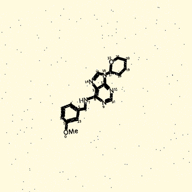 COc1cccc(CNc2ncnc3c2ncn3C2CCCCO2)c1